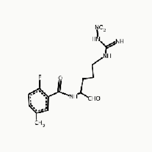 Cc1ccc(F)c(C(=O)NC(C=O)CCCNC(=N)N[N+](=O)[O-])c1